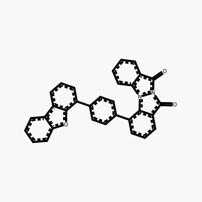 O=c1c2ccccc2n2c3c(-c4ccc(-c5cccc6c5oc5ccccc56)cc4)cccc3c(=O)n12